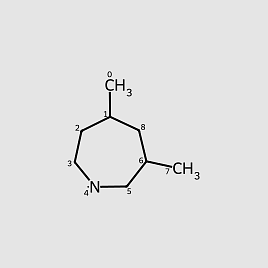 CC1CC[N]CC(C)C1